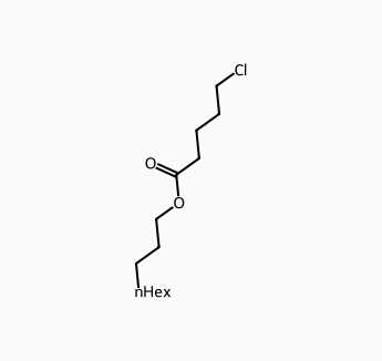 CCCCCCCCCOC(=O)CCCCCl